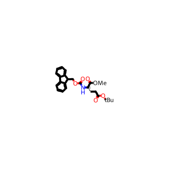 COC(=O)[C@H](CCC(=O)OC(C)(C)C)NC(=O)OCC1c2ccccc2-c2ccccc21